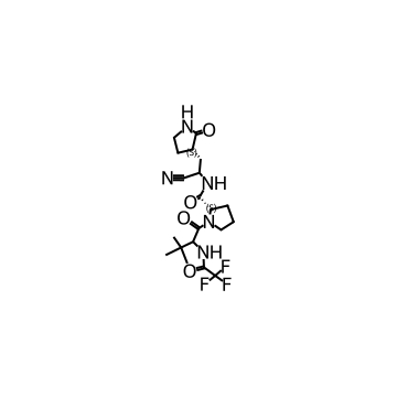 CC(C)(C)C(NC(=O)C(F)(F)F)C(=O)N1CCC[C@H]1C(=O)NC(C#N)C[C@@H]1CCNC1=O